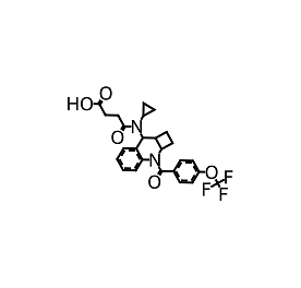 O=C(O)CCC(=O)N(C1CC1)C1c2ccccc2N(C(=O)c2ccc(OC(F)(F)F)cc2)C2CCC21